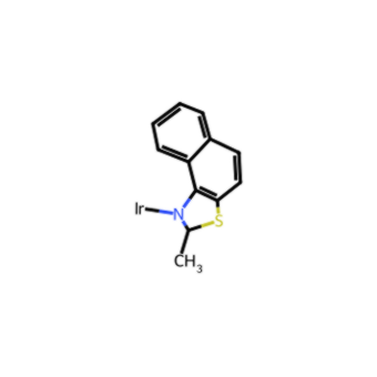 CC1Sc2ccc3ccccc3c2[N]1[Ir]